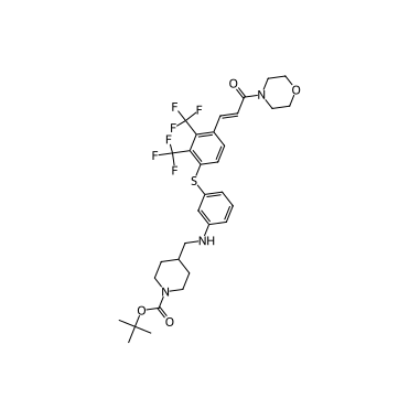 CC(C)(C)OC(=O)N1CCC(CNc2cccc(Sc3ccc(C=CC(=O)N4CCOCC4)c(C(F)(F)F)c3C(F)(F)F)c2)CC1